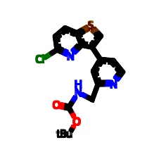 CC(C)(C)OC(=O)NCc1cc(-c2csc3ccc(Cl)nc23)ccn1